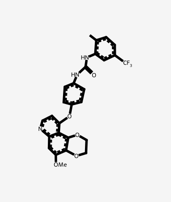 COc1cc2nccc(Oc3ccc(NC(=O)Nc4cc(C(F)(F)F)ccc4C)cc3)c2c2c1OCCO2